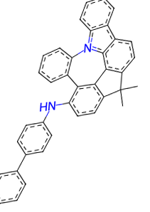 CC1(C)c2ccc(Nc3ccc(-c4ccccc4)cc3)c3c2-c2c1ccc1c4ccccc4n(c21)-c1ccccc1-3